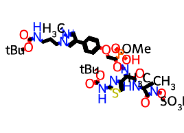 COP(=O)(O)C(COc1ccc(-c2cn(CCCNC(=O)OC(C)(C)C)[n+](C)c2)cc1)ON=C(C(=O)NC1C(=O)N(OS(=O)(=O)O)C1(C)C)c1csc(NC(=O)OC(C)(C)C)n1